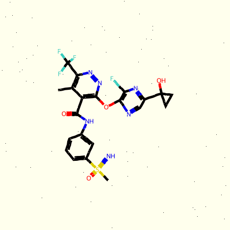 Cc1c(C(F)(F)F)nnc(Oc2ncc(C3(O)CC3)nc2F)c1C(=O)Nc1cccc(S(C)(=N)=O)c1